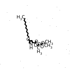 CCCCCCCCCCCCOc1c[nH]c(C(=O)OC(C)OC(=O)OC(C)C)c1